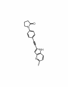 O=C1CCCN1c1ccc(C#Cc2cc3nc(F)ccc3[nH]2)cc1